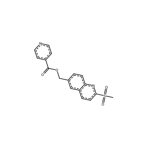 CS(=O)(=O)c1ccc2cc(COC(=O)c3ccncc3)ccc2n1